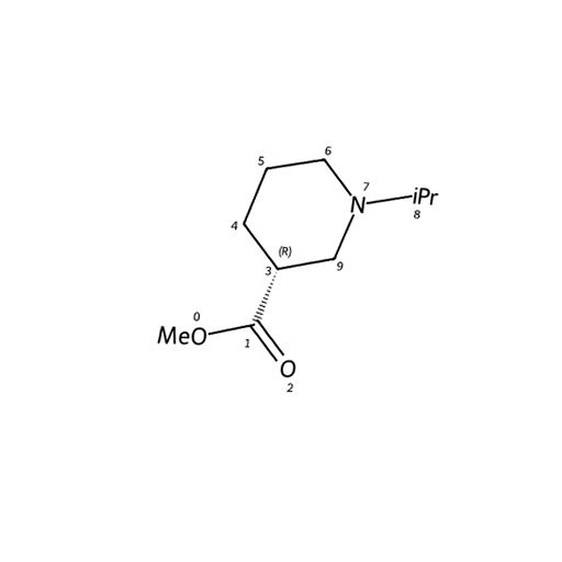 COC(=O)[C@@H]1CCCN(C(C)C)C1